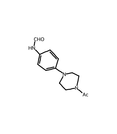 CC(=O)N1CCN(c2ccc(NC=O)cc2)CC1